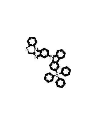 c1ccc([Si](c2ccccc2)(c2ccccc2)c2ccc3c(c2)c2ccccc2n3-c2ccc3c(c2)nc2n3-c3ccccc3SC2)cc1